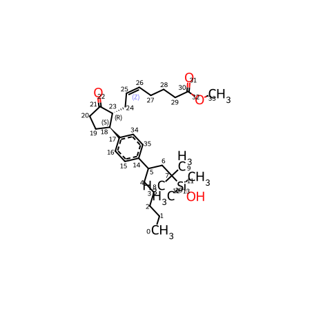 CCCCCC(CC(C)(C)[Si](C)(C)O)c1ccc([C@H]2CCC(=O)[C@@H]2C/C=C\CCCC(=O)OC)cc1